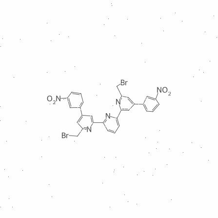 O=[N+]([O-])c1cccc(-c2cc(CBr)nc(-c3cccc(-c4cc(-c5cccc([N+](=O)[O-])c5)cc(CBr)n4)n3)c2)c1